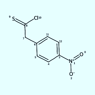 O=[N+]([O-])c1ccc(CC(=S)Cl)cc1